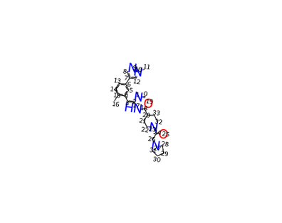 C=N/C(=C\c1cc(-c2cnn(C)c2)ccc1C)NC(=O)C1CCN(C(=O)CN2CCCC2)CC1